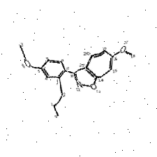 CCCc1cc(OC)ccc1-c1noc2cc(OC)ccc12